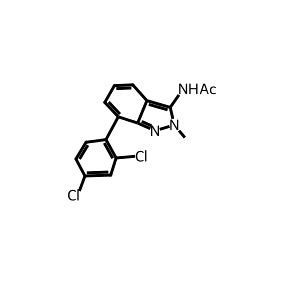 CC(=O)Nc1c2cccc(-c3ccc(Cl)cc3Cl)c2nn1C